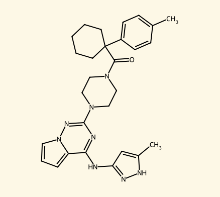 Cc1ccc(C2(C(=O)N3CCN(c4nc(Nc5cc(C)[nH]n5)c5cccn5n4)CC3)CCCCC2)cc1